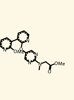 COC(=O)CN(C)c1ncc(Oc2ncccc2-c2cccnc2OC)cn1